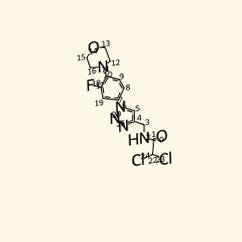 O=C(NCc1cn(-c2ccc(N3CCOCC3)c(F)c2)nn1)C(Cl)Cl